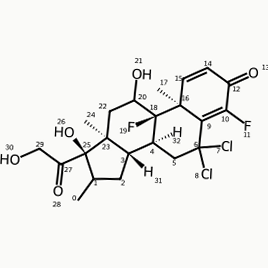 CC1C[C@H]2[C@@H]3CC(Cl)(Cl)C4=C(F)C(=O)C=C[C@]4(C)[C@@]3(F)C(O)C[C@]2(C)[C@@]1(O)C(=O)CO